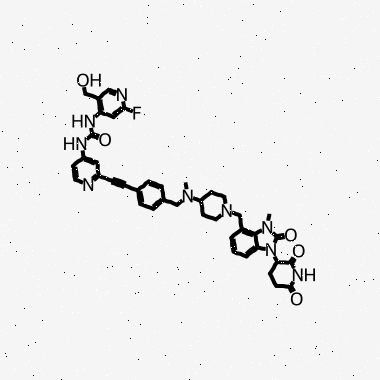 CN(Cc1ccc(C#Cc2cc(NC(=O)Nc3cc(F)ncc3CO)ccn2)cc1)C1CCN(Cc2cccc3c2n(C)c(=O)n3C2CCC(=O)NC2=O)CC1